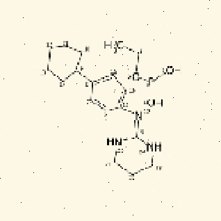 CCOP(O)O.c1cc(C2CCCCC2)ccc1N=C1NCCCN1